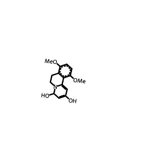 COc1ccc(OC)c2c1CCN1C2=CC(O)=CC1O